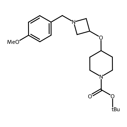 COc1ccc(CN2CC(OC3CCN(C(=O)OC(C)(C)C)CC3)C2)cc1